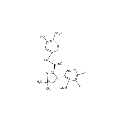 COc1c([C@@H]2C[C@](C)(C(F)(F)F)S[C@H]2C(=O)Nc2ccc(C(=O)O)c(O)c2)ccc(F)c1F